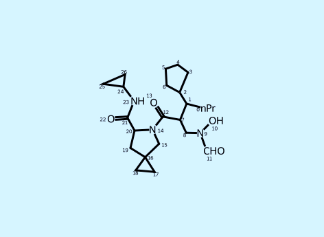 CCCC(C1CCCC1)C(CN(O)C=O)C(=O)N1CC2(CC2)CC1C(=O)NC1CC1